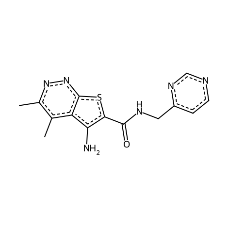 Cc1nnc2sc(C(=O)NCc3ccncn3)c(N)c2c1C